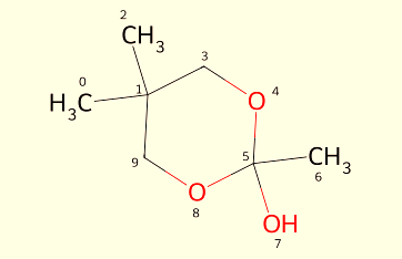 CC1(C)COC(C)(O)OC1